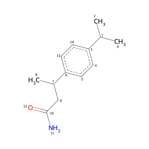 CC(C)c1ccc(C(C)CC(N)=O)cc1